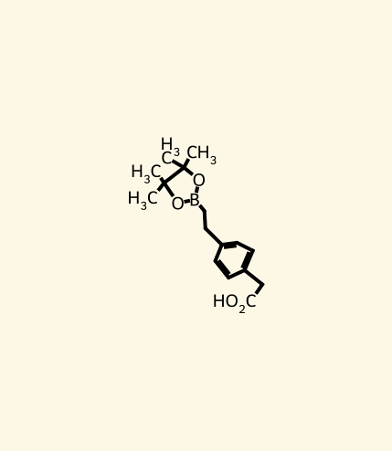 CC1(C)OB(CCc2ccc(CC(=O)O)cc2)OC1(C)C